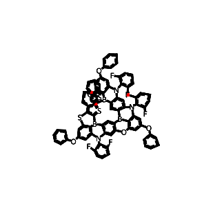 Fc1cccc(F)c1N1c2cc3c(cc2B2c4cc5c(cc4Oc4cc(Oc6ccccc6)cc1c42)N(c1c(F)cccc1F)c1cc(Oc2ccccc2)cc2c1B5c1sc4ccccc4c1S2)B1c2sc4ccccc4c2Oc2cc(Oc4ccccc4)cc(c21)N3c1c(F)cccc1F